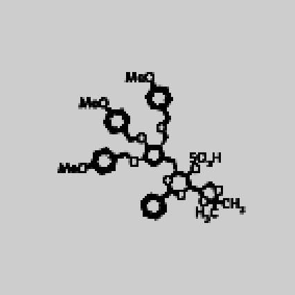 COc1ccc(COC[C@@H]2C(C[C@@H]3OC(c4ccccc4)O[C@H]([C@H]4COC(C)(C)O4)[C@@H]3OS(=O)(=O)O)C[C@H](OCc3ccc(OC)cc3)[C@H]2OCc2ccc(OC)cc2)cc1